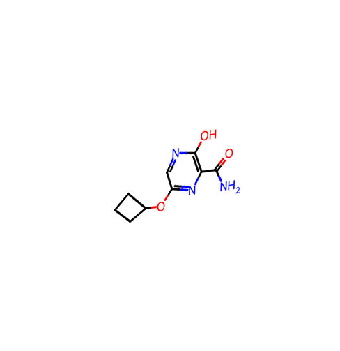 NC(=O)c1nc(OC2CCC2)cnc1O